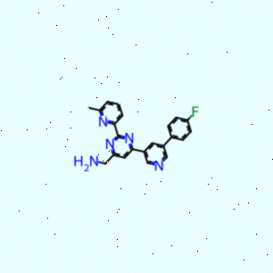 Cc1cccc(-c2nc(CN)cc(-c3cncc(-c4ccc(F)cc4)c3)n2)n1